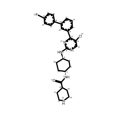 O=C(N[C@H]1CC[C@H](Nc2ncc(Cl)c(-c3cccc(-c4ccc(F)cc4)c3)n2)CC1)C1CCNCC1